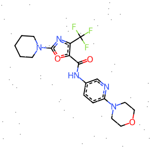 O=C(Nc1ccc(N2CCOCC2)nc1)c1oc(N2CCCCC2)nc1C(F)(F)F